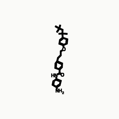 CC(C)(C)CC(C)(C)c1ccc(OCCCc2ccc(C(=O)Nc3ccc(N)cc3)cc2)cc1